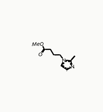 COC(=O)CCCn1c[c]nc1C